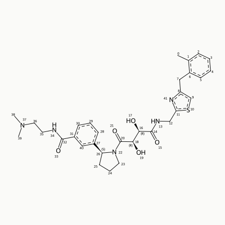 Cc1ccccc1Cc1csc(CNC(=O)[C@H](O)[C@@H](O)C(=O)N2CCC[C@H]2c2cccc(C(=O)NCCN(C)C)c2)n1